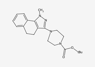 Cn1nc(N2CCN(C(=O)OC(C)(C)C)CC2)c2c1-c1ccccc1CC2